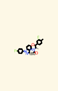 Cc1ccc([C@H](Oc2ccc3c(cnn3-c3ccc(F)cc3)c2)[C@H](C)NC(=O)C(C)(C)C)cc1F